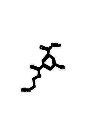 CCCCCCCCCCCCOC(=O)c1cc(C(=O)OC)cc(C(C)C)c1